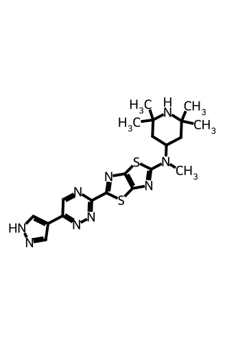 CN(c1nc2sc(-c3ncc(-c4cn[nH]c4)nn3)nc2s1)C1CC(C)(C)NC(C)(C)C1